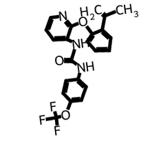 C=C(C)c1ccccc1Oc1ncccc1NC(=O)Nc1ccc(OC(F)(F)F)cc1